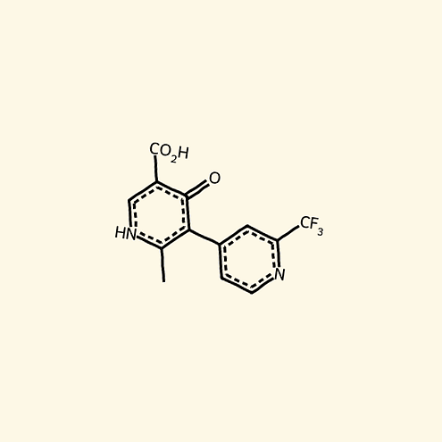 Cc1[nH]cc(C(=O)O)c(=O)c1-c1ccnc(C(F)(F)F)c1